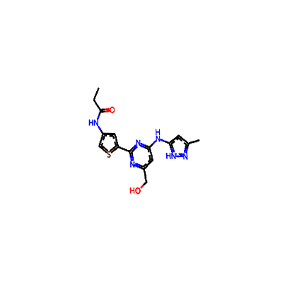 CCC(=O)Nc1csc(-c2nc(CO)cc(Nc3cc(C)n[nH]3)n2)c1